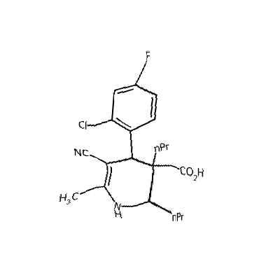 CCCC1NC(C)=C(C#N)C(c2ccc(F)cc2Cl)C1(CCC)C(=O)O